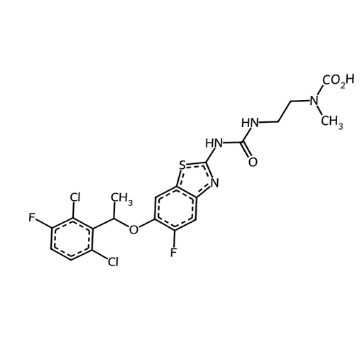 CC(Oc1cc2sc(NC(=O)NCCN(C)C(=O)O)nc2cc1F)c1c(Cl)ccc(F)c1Cl